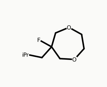 CC(C)CC1(F)COCCOC1